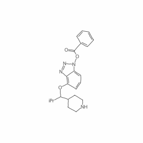 CC(C)C(Oc1cccc2c1nnn2OC(=O)c1ccccc1)C1CCNCC1